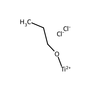 CCC[O][Ti+2].[Cl-].[Cl-]